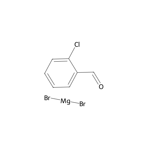 O=Cc1ccccc1Cl.[Br][Mg][Br]